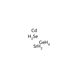 [Cd].[GeH4].[SeH2].[SrH2]